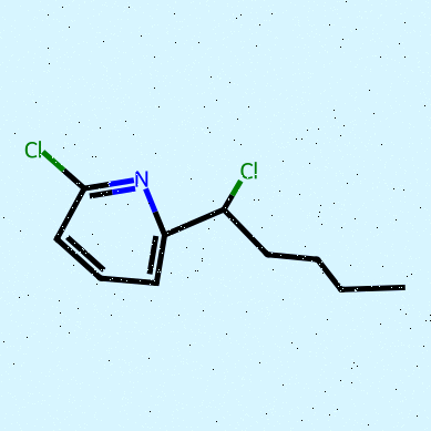 CCCCC(Cl)c1cccc(Cl)n1